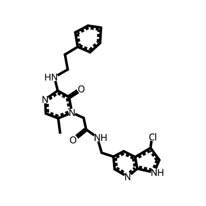 Cc1cnc(NCCc2ccccc2)c(=O)n1CC(=O)NCc1cnc2[nH]cc(Cl)c2c1